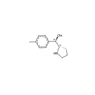 Cc1ccc([C@@H](O)[C@@H]2CCCN2)cc1